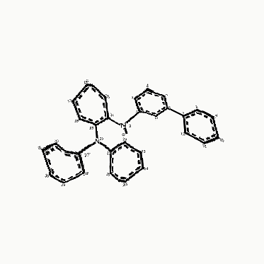 CN(c1cccc(-c2ccccc2)c1)c1ccccc1N(c1ccccc1)c1ccccc1